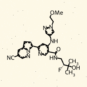 COCCn1cc(Nc2cc(-c3ccc4cc(C#N)cnn34)ncc2C(=O)NC[C@@H](F)C(C)(C)O)cn1